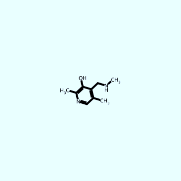 CNCc1c(C)cnc(C)c1O